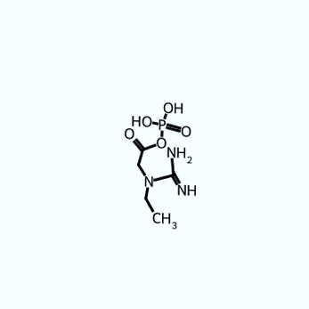 CCN(CC(=O)OP(=O)(O)O)C(=N)N